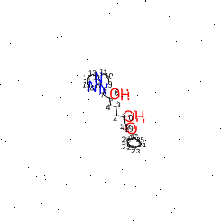 OC(CCCC(O)CN1CCCN2CCCN=C21)COc1ccccc1